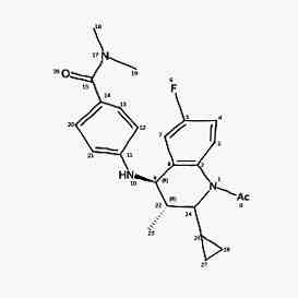 CC(=O)N1c2ccc(F)cc2[C@H](Nc2ccc(C(=O)N(C)C)cc2)[C@@H](C)C1C1CC1